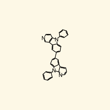 c1ccc(-n2c3ccncc3c3cc(-c4ccc5c(c4)c4cccnc4n5-c4ccccc4)ccc32)cc1